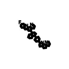 Fc1ccc2cc3cc(-c4ccc(-c5ccc(-c6ccc7ccc8cccnc8c7n6)cc5)c5ccccc45)c4cccnc4c3nc2c1